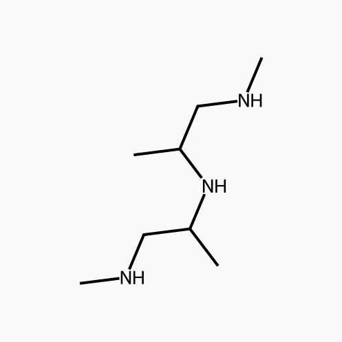 CNCC(C)NC(C)CNC